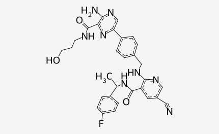 CC(NC(=O)c1cc(C#N)cnc1NCc1ccc(-c2cnc(N)c(C(=O)NCCCO)n2)cc1)c1ccc(F)cc1